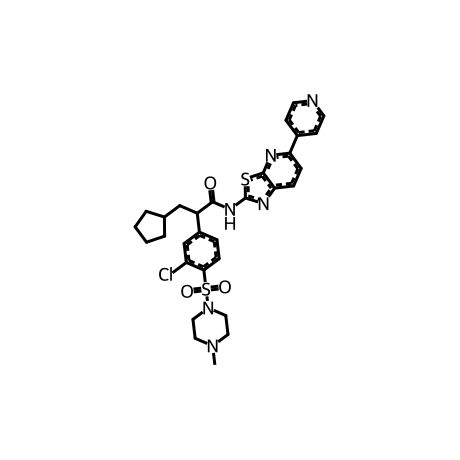 CN1CCN(S(=O)(=O)c2ccc(C(CC3CCCC3)C(=O)Nc3nc4ccc(-c5ccncc5)nc4s3)cc2Cl)CC1